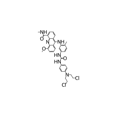 CNC(=O)c1cccc2c(Nc3cc(NC(=O)Nc4ccc(N(CCCl)CCCl)cc4)ccc3C)c3cccc(OC)c3nc12